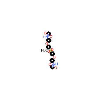 Cc1cc(Oc2cccc(NN3C(=O)CCC3=O)c2)ccc1S(=O)(=O)c1ccc(Oc2cccc(NN3C(=O)CCC3=O)c2)cc1